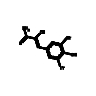 CC(C)c1cc(/C=C(\C#N)C(N)=S)cc(C(C)C)c1O